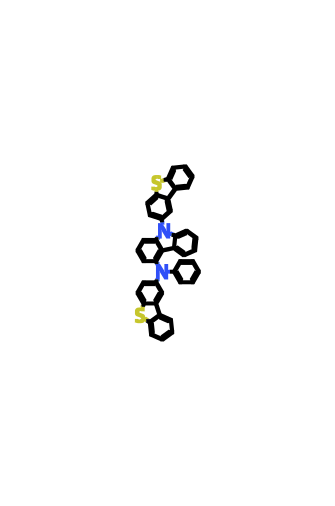 c1ccc(N(c2ccc3sc4ccccc4c3c2)c2cccc3c2c2ccccc2n3-c2ccc3sc4ccccc4c3c2)cc1